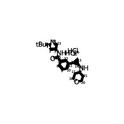 CC(C)(C)n1cc(NC(=O)c2cccc(C3CC3NC3CCOCC3)c2)cn1.Cl.Cl